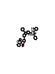 c1ccc(C2=NC(c3ccccc3)NC(c3ccc4c(c3)c3cc(-c5ccc6c(c5)C5(c7ccccc7Oc7ccccc75)c5ccccc5-6)ccc3n4-c3ccccc3)N2)cc1